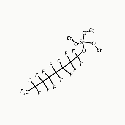 CCO[Si](OCC)(OCC)OC(F)(F)C(F)(F)C(F)(F)C(F)(F)C(F)(F)C(F)(F)C(F)(F)C(F)(F)F